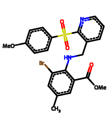 COC(=O)c1cc(C)cc(Br)c1NCc1cccnc1S(=O)(=O)c1ccc(OC)cc1